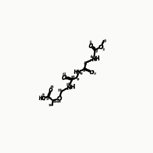 COC(=O)NCC(=O)NCC(=O)NCOC(C)C(=O)O